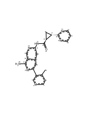 Cc1ccncc1-c1cc2cc(NC(=O)[C@H]3C[C@@H]3c3ncccn3)ncc2c(N)n1